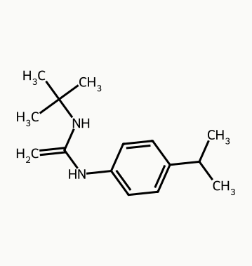 C=C(Nc1ccc(C(C)C)cc1)NC(C)(C)C